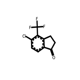 O=C1CCc2c1ccc(Cl)c2C(F)(F)F